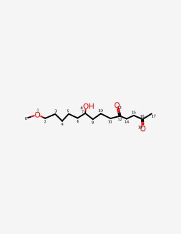 COCCCCCC(O)CCCC(=O)CCC(C)=O